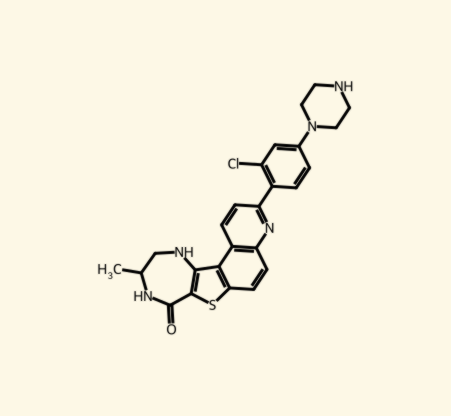 CC1CNc2c(sc3ccc4nc(-c5ccc(N6CCNCC6)cc5Cl)ccc4c23)C(=O)N1